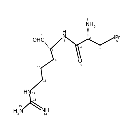 CC(C)C[C@@H](N)C(=O)N[C@@H]([C]=O)CCCNC(=N)N